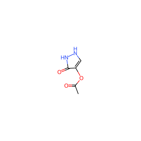 CC(=O)Oc1c[nH][nH]c1=O